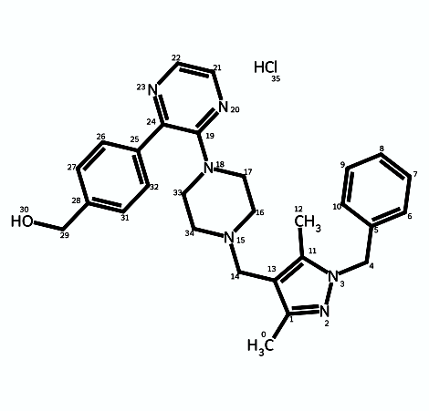 Cc1nn(Cc2ccccc2)c(C)c1CN1CCN(c2nccnc2-c2ccc(CO)cc2)CC1.Cl